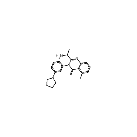 C=C1c2c(C)cccc2N=C(C(C)N)N1c1cccc(N2CCCC2)c1